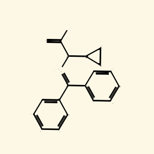 O=C(O)C(N=C(c1ccccc1)c1ccccc1)C1CC1